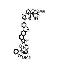 CC[C@H]1CC[C@@H](c2nc3ccc4cc5c(cc4c3[nH]2)OCc2cc(-c3cnc([C@@H]4CC[C@H](C)N4C(=O)C(NC(=O)OC)C(C)C)[nH]3)ccc2-5)N1C(=O)[C@H](NC(=O)OC)c1ccccc1